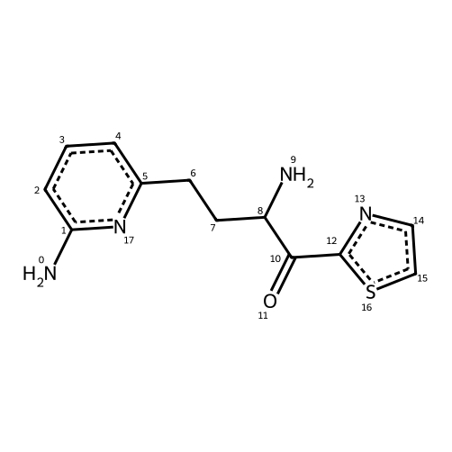 Nc1cccc(CCC(N)C(=O)c2nccs2)n1